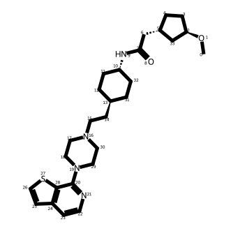 CO[C@@H]1CC[C@@H](CC(=O)N[C@H]2CC[C@H](CCN3CCN(c4nccc5ccsc45)CC3)CC2)C1